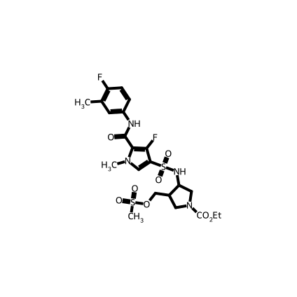 CCOC(=O)N1CC(COS(C)(=O)=O)C(NS(=O)(=O)c2cn(C)c(C(=O)Nc3ccc(F)c(C)c3)c2F)C1